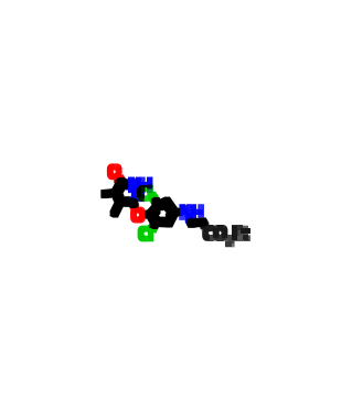 CCOC(=O)CCNc1cc(Cl)c(Oc2n[nH]c(=O)c(C)c2C)c(Cl)c1